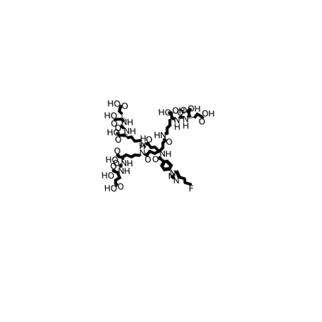 O=C(O)CCC(NC(=O)NC(CCCCNC(=O)CCC(CCC(=O)NCCCC[C@H](NC(=O)N[C@@H](CCC(=O)O)C(=O)O)C(=O)O)(CCC(=O)NCCCC[C@H](NC(=O)N[C@@H](CCC(=O)O)C(=O)O)C(O)O)NC(=O)c1ccc(-n2cc(CCCF)nn2)cc1)C(=O)O)C(=O)O